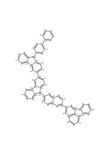 c1ccc(-c2ccc(-n3c4ccccc4c4cc(-c5ccc6c(c5)c5ccccc5n6-c5ccc6cc(-c7cc8c9c(cccc9c7)-c7ccccc7-8)ccc6c5)ccc43)cc2)cc1